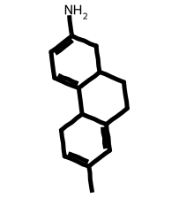 CC1=CCC2C(=C1)CCC1CC(N)=CC=C12